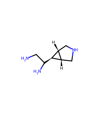 NCC(N)[C@H]1[C@@H]2CNC[C@@H]21